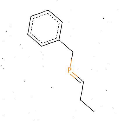 CCC=PCc1ccccc1